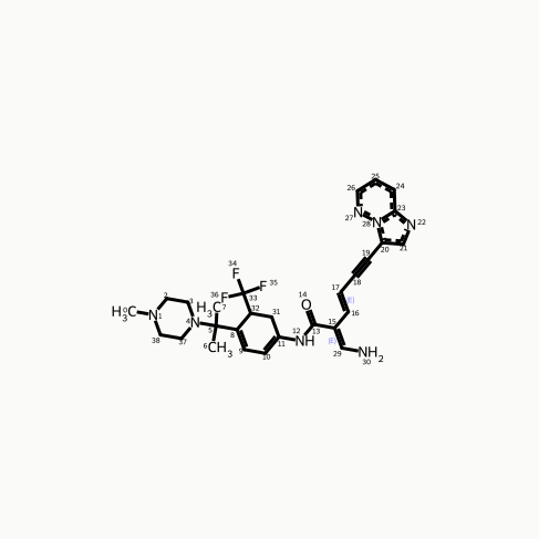 CN1CCN(C(C)(C)C2=CC=C(NC(=O)C(/C=C/C#Cc3cnc4cccnn34)=C/N)CC2C(F)(F)F)CC1